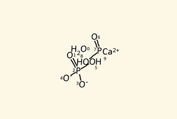 O.O=P([O-])([O-])O.O=PO.[Ca+2]